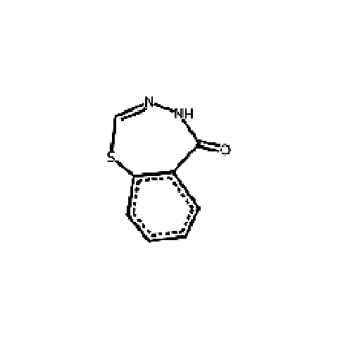 O=C1NN=CSc2ccccc21